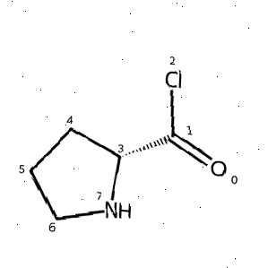 O=C(Cl)[C@H]1CCCN1